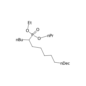 CCCCCCCCCCCCCCCC(CCCC)P(=O)(OCC)OCCC